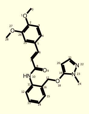 COc1ccc(/C=C/C(=O)Nc2ccccc2COc2ccnn2C)cc1OC